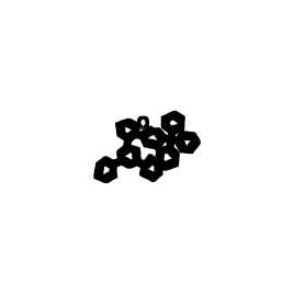 c1ccc(-c2cc(-c3ccccc3)cc(-c3cccc4oc5cc6c(cc5c34)-c3ccccc3C6(c3ccccc3)c3ccccc3)c2)cc1